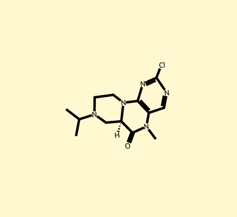 CC(C)N1CCN2c3nc(Cl)ncc3N(C)C(=O)[C@H]2C1